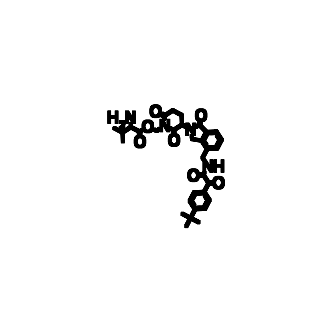 CC(C)C(N)C(=O)OCN1C(=O)CCC(N2Cc3c(CNC(=O)C(=O)c4ccc(C(C)(C)C)cc4)cccc3C2=O)C1=O